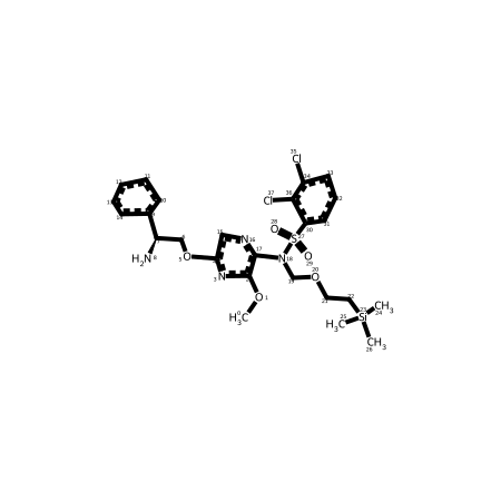 COc1nc(OC[C@@H](N)c2ccccc2)cnc1N(COCC[Si](C)(C)C)S(=O)(=O)c1cccc(Cl)c1Cl